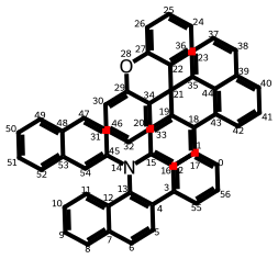 c1ccc(-c2ccc3ccccc3c2N(c2ccc3c(c2)C2(c4ccccc4Oc4ccccc42)c2cccc4cccc-3c24)c2ccc3ccccc3c2)cc1